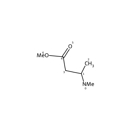 CNC(C)CC(=O)OC